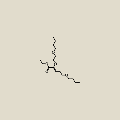 CCCCOCCC=C(OCCOCCCC)C(=O)OCC